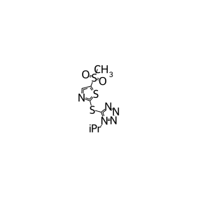 CC(C)n1nnnc1Sc1ncc(S(C)(=O)=O)s1